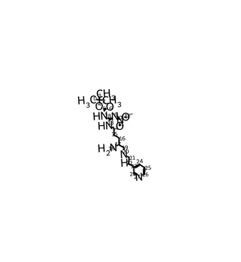 CC(C)(C)OC(=O)NC(=N[N+](=O)[O-])NCCC[C@H](N)CNCCc1cccnc1